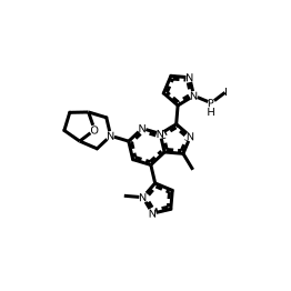 Cc1nc(-c2ccnn2PI)n2nc(N3CC4CCC(C3)O4)cc(-c3ccnn3C)c12